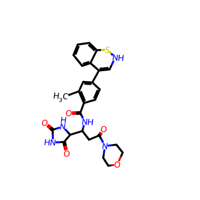 Cc1cc(C2=CNSc3ccccc32)ccc1C(=O)NC(CC(=O)N1CCOCC1)C1NC(=O)NC1=O